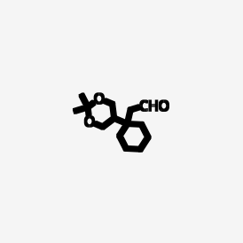 CC1(C)OCC(C2(CC=O)CCCCC2)CO1